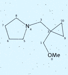 COCC1(CN2CCCC2)CC1